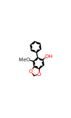 COc1c2c(cc(O)c1-c1ccccc1)OCO2